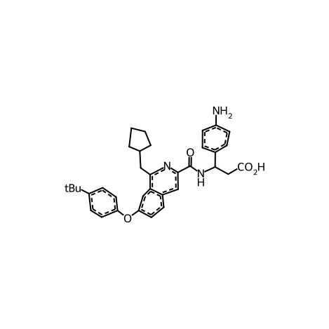 CC(C)(C)c1ccc(Oc2ccc3cc(C(=O)NC(CC(=O)O)c4ccc(N)cc4)nc(CC4CCCC4)c3c2)cc1